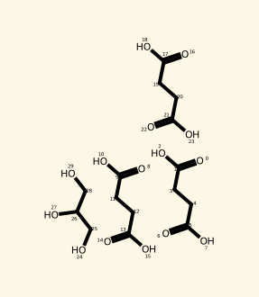 O=C(O)CCC(=O)O.O=C(O)CCC(=O)O.O=C(O)CCC(=O)O.OCC(O)CO